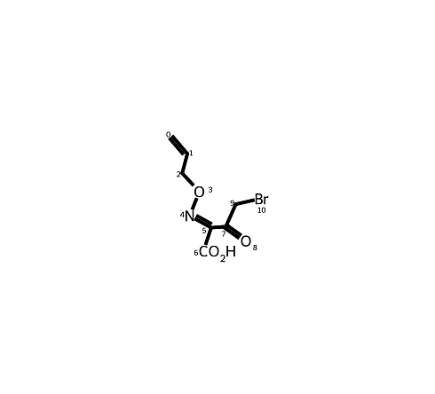 C=CCON=C(C(=O)O)C(=O)CBr